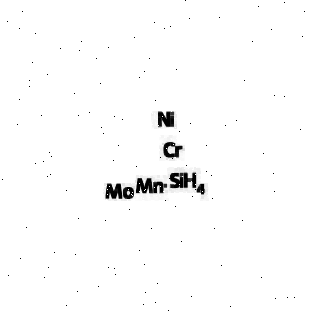 [Cr].[Mn].[Mo].[Ni].[SiH4]